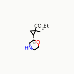 CCOC(=O)C1(C)CC1[C@H]1CNCCO1